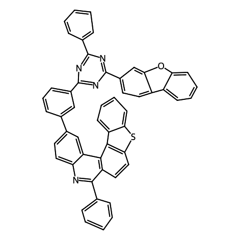 c1ccc(-c2nc(-c3cccc(-c4ccc5nc(-c6ccccc6)c6ccc7sc8ccccc8c7c6c5c4)c3)nc(-c3ccc4c(c3)oc3ccccc34)n2)cc1